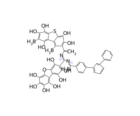 Bc1c(O)c(O)c2sc3c(O)c(O)c(C(=C)/N=C(\N=C(/N)c4ccc(-c5cccc(-c6ccccc6)c5)cc4)c4c(O)c(O)c5c(oc6c(O)c(O)c(O)c(O)c65)c4O)c(B)c3c2c1O